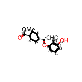 COC(=O)[C@H]1CC[C@H](COc2cccc(O)c2C=O)CC1